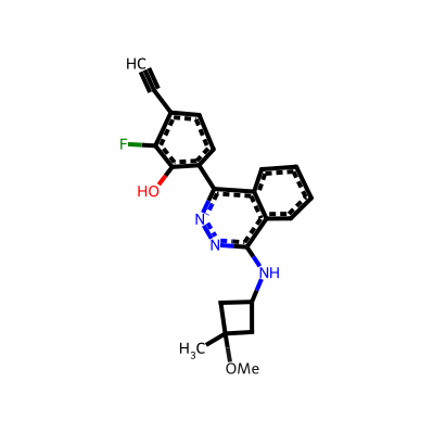 C#Cc1ccc(-c2nnc(NC3CC(C)(OC)C3)c3ccccc23)c(O)c1F